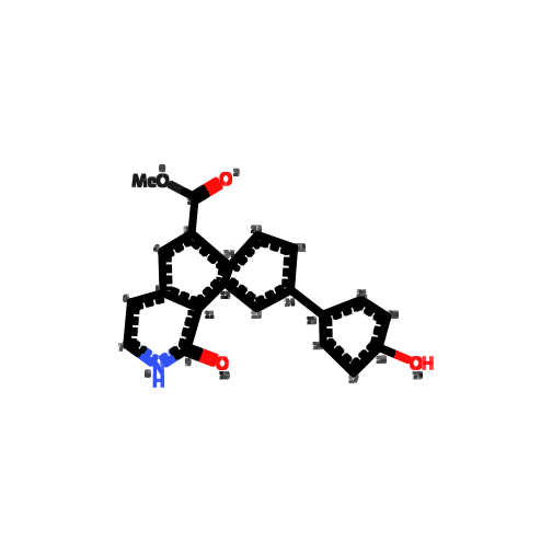 COC(=O)c1cc2cc[nH]c(=O)c2c2cc(-c3ccc(O)cc3)ccc12